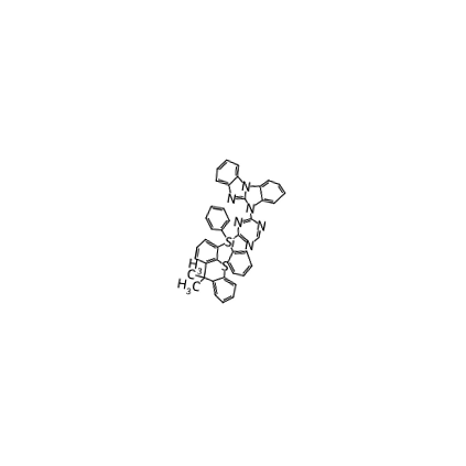 CC1(C)c2ccccc2Sc2c1cccc2[Si](c1ccccc1)(c1ccccc1)c1ncnc(-n2c3ccccc3n3c4ccccc4nc23)n1